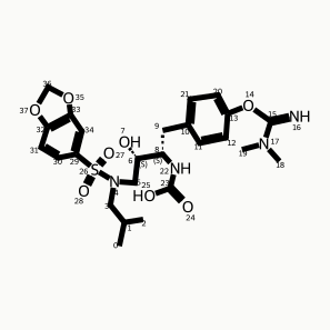 CC(C)CN(C[C@H](O)[C@H](Cc1ccc(OC(=N)N(C)C)cc1)NC(=O)O)S(=O)(=O)c1ccc2c(c1)OCO2